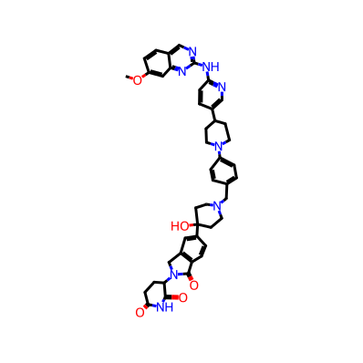 COc1ccc2cnc(Nc3ccc(C4CCN(c5ccc(CN6CCC(O)(c7ccc8c(c7)CN(C7CCC(=O)NC7=O)C8=O)CC6)cc5)CC4)cn3)nc2c1